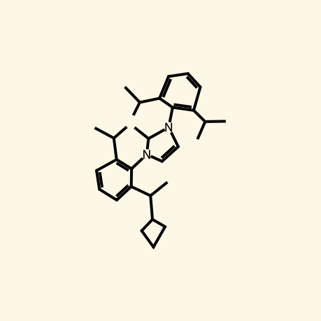 CC(C)c1cccc(C(C)C)c1N1C=CN(c2c(C(C)C)cccc2C(C)C2CCC2)C1C